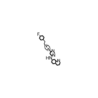 Fc1ccc(CCN2CCN(c3cc(Nc4ccc5cccnc5c4)ncn3)CC2)cc1